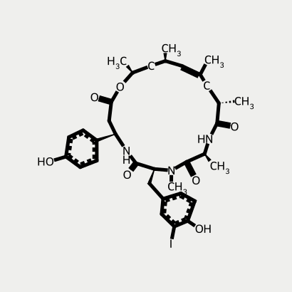 CC1=C[C@H](C)C[C@H](C)OC(=O)C[C@H](c2ccc(O)cc2)NC(=O)[C@H](Cc2ccc(O)c(I)c2)N(C)C(=O)[C@H](C)NC(=O)[C@@H](C)C1